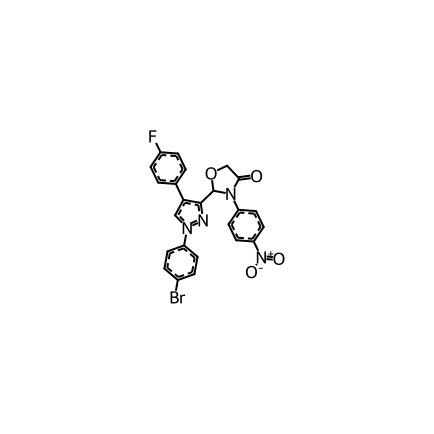 O=C1COC(c2nn(-c3ccc(Br)cc3)cc2-c2ccc(F)cc2)N1c1ccc([N+](=O)[O-])cc1